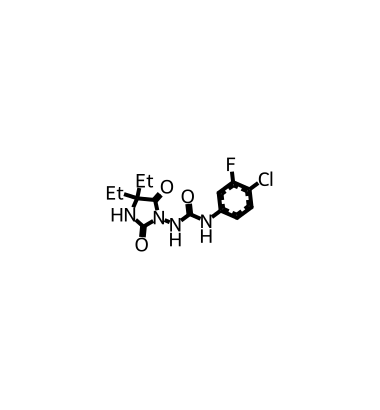 CCC1(CC)NC(=O)N(NC(=O)Nc2ccc(Cl)c(F)c2)C1=O